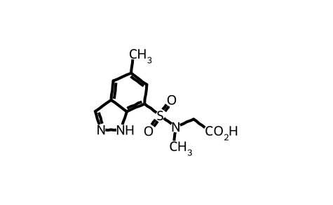 Cc1cc(S(=O)(=O)N(C)CC(=O)O)c2[nH]ncc2c1